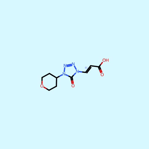 O=C(O)/C=C/n1nnn(C2CCOCC2)c1=O